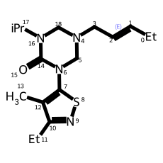 CC/C=C/CN1CN(c2snc(CC)c2C)C(=O)N(C(C)C)C1